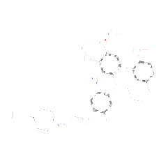 COc1cc(-c2c(O)ccc3c2CCCC3)c(Cc2ccc(OCCN3CCC(C)CC3)c(F)c2)c(N)c1OC